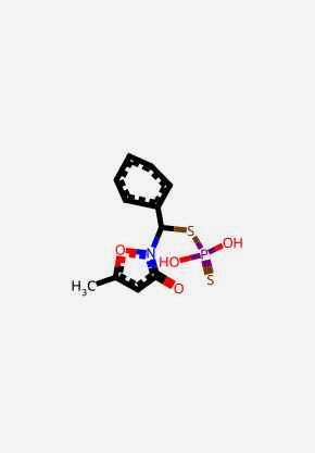 Cc1cc(=O)n(C(SP(O)(O)=S)c2ccccc2)o1